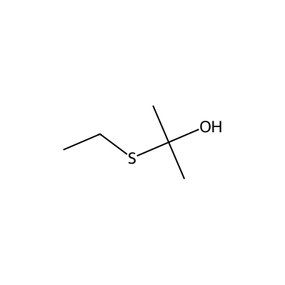 CCSC(C)(C)O